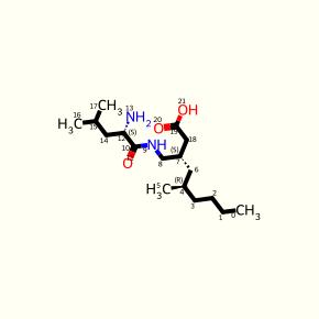 CCCC[C@@H](C)C[C@H](CNC(=O)[C@@H](N)CC(C)C)CC(=O)O